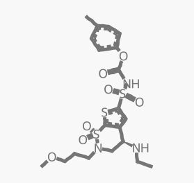 CCN[C@H]1CN(CCCOC)S(=O)(=O)c2sc(S(=O)(=O)NC(=O)Oc3ccc(C)cc3)cc21